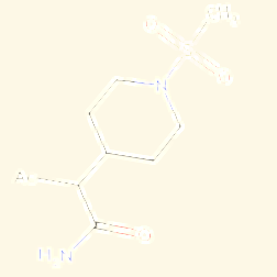 CC(=O)C(C(N)=O)C1CCN(S(C)(=O)=O)CC1